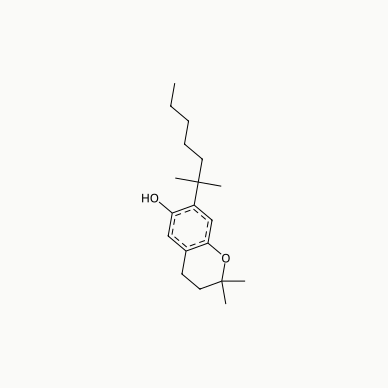 CCCCCC(C)(C)c1cc2c(cc1O)CCC(C)(C)O2